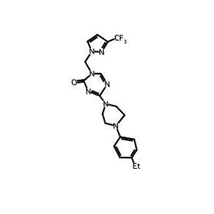 CCc1ccc(N2CCN(c3ncn(Cn4ccc(C(F)(F)F)n4)c(=O)n3)CC2)cc1